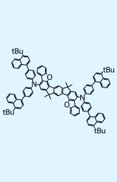 CC(C)(C)c1ccc(-c2ccc(N(c3ccc(-c4ccc(C(C)(C)C)c5ccccc45)cc3)c3cc4c(c5oc6ccccc6c35)-c3cc5c(cc3C4(C)C)-c3c(cc(N(c4ccc(-c6ccc(C(C)(C)C)c7ccccc67)cc4)c4ccc(-c6ccc(C(C)(C)C)c7ccccc67)cc4)c4c3oc3ccccc34)C5(C)C)cc2)c2ccccc12